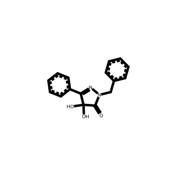 O=C1N(Cc2ccccc2)N=C(c2ccccc2)C1(O)O